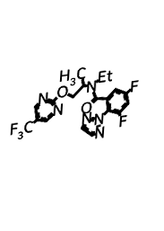 CCN(C(=O)c1cc(F)cc(F)c1-n1nccn1)C(C)COc1ncc(C(F)(F)F)cn1